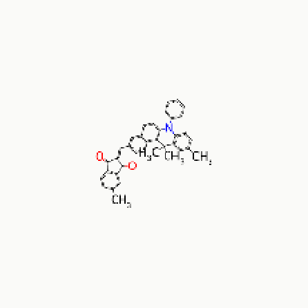 Cc1ccc2c(c1)C(=O)/C(=C\c1ccc3c4c(ccc3c1)N(c1ccccc1)c1ccc(C)cc1C4(C)C)C2=O